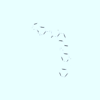 O=C(Nc1ccc(Oc2ccccc2)nc1)c1ccc(Cl)c(C(=O)Nc2cnc3[nH]ccc3c2)c1